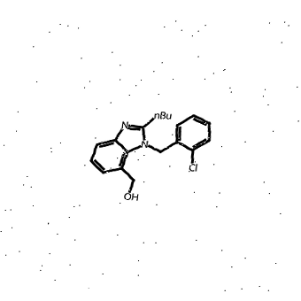 CCCCc1nc2cccc(CO)c2n1Cc1ccccc1Cl